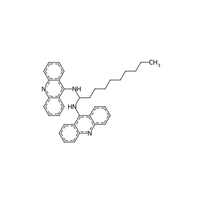 CCCCCCCCCC(Nc1c2ccccc2nc2ccccc12)Nc1c2ccccc2nc2ccccc12